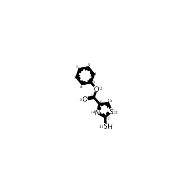 O=C(Oc1ccccc1)c1csc(S)n1